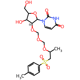 Cc1ccc(S(=O)(=O)CC(C)OCOCO[C@H]2C(O)C(CO)OC2n2ccc(=O)[nH]c2=O)cc1